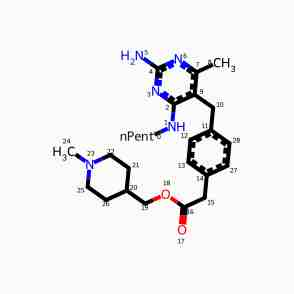 CCCCCNc1nc(N)nc(C)c1Cc1ccc(CC(=O)OCC2CCN(C)CC2)cc1